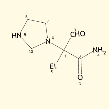 CCC(C=O)(C(N)=O)N1CCNC1